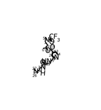 CC(CCN(C)C(=O)C(F)(F)F)OC(=O)c1ccnc(CNCC(=O)NCCN(C)C)c1